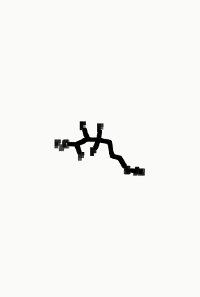 CC(=O)SCCCC(F)(F)C(F)C(F)C(F)(F)F